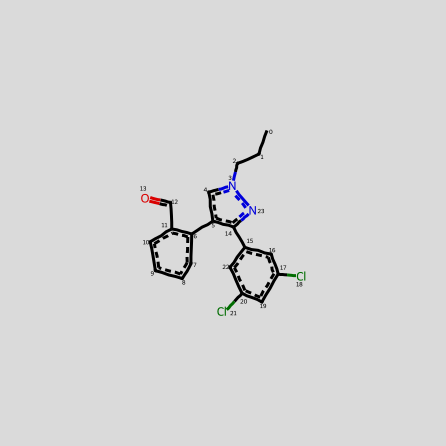 CCCn1cc(-c2ccccc2C=O)c(-c2cc(Cl)cc(Cl)c2)n1